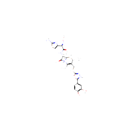 CCO/N=C(/C(=O)N[C@@H]1C(=O)N2C(C(=O)[O-])=C(CSc3nnc(-c4ccc(O)c(O)c4)o3)CS[C@H]12)c1csc(N)n1.[Na+]